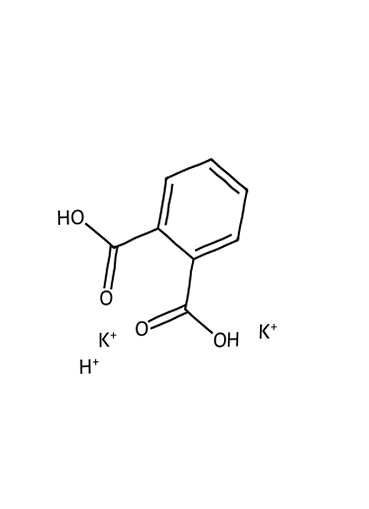 O=C(O)c1ccccc1C(=O)O.[H+].[K+].[K+]